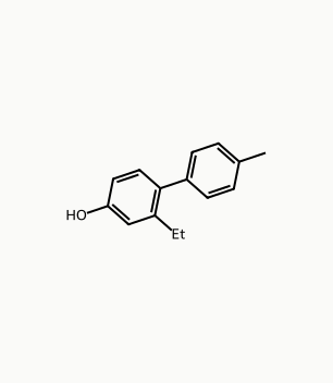 CCc1cc(O)ccc1-c1ccc(C)cc1